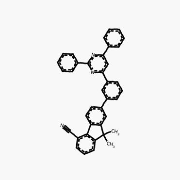 CC1(C)c2cc(-c3cccc(-c4cc(-c5ccccc5)nc(-c5ccccc5)n4)c3)ccc2-c2c(C#N)cccc21